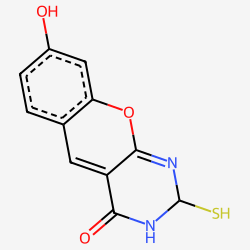 O=C1NC(S)N=C2Oc3cc(O)ccc3C=C12